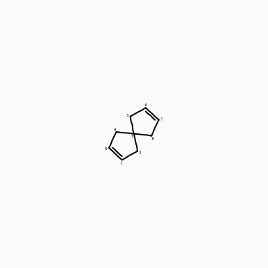 C1=CCC2(C1)CC=CC2